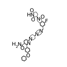 NC(=O)c1ccc(N2CCC(N3CCN(Cc4cc(F)c5c(c4)CN(C4CCC(=O)NC4=O)C5=O)CC3)CC2)nc1-c1ccc(Oc2ccccc2)cc1